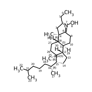 CCCC[C@@]1(C)C(=NO)CC[C@H]2[C@@H]3CC[C@H]([C@H](C)CCCC(C)C)[C@@]3(C)CC[C@@H]21